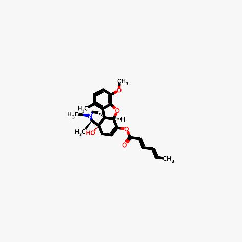 C/C=C/C=C/C(=O)OC1=CC[C@@]2(O)[C@@H](C)N(C)CC[C@@]23c2c(C)ccc(OC)c2O[C@@H]13